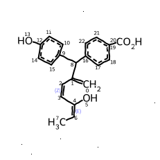 C=C(/C=C\C(O)=C/C)C(c1ccc(O)cc1)c1ccc(C(=O)O)cc1